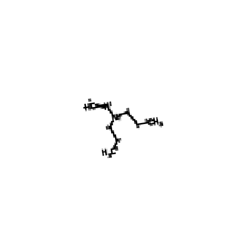 [CH]=NN(CCC)CCC